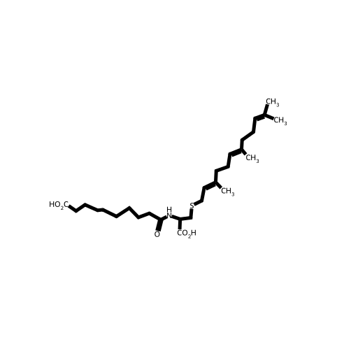 CC(C)=CCC/C(C)=C/CC/C(C)=C/CSCC(NC(=O)CCCCCCCCC(=O)O)C(=O)O